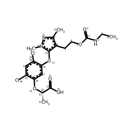 CCNC(=O)OCCc1c(C)nn(C)c1Oc1cc(O[C@@H](C)C(=O)O)c(Cl)cc1Cl